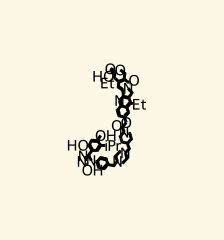 CCc1c2c(nc3ccc(OC(=O)N4CCC(CN5CCN(Cc6ccc(-n7c(O)nnc7-c7cc(C(C)C)c(O)cc7O)cc6)CC5)CC4)cc13)-c1cc3c(c(=O)n1C2)COC(=O)[C@]3(O)CC